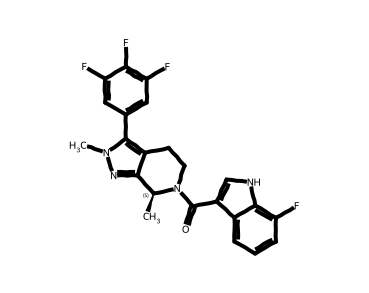 C[C@H]1c2nn(C)c(-c3cc(F)c(F)c(F)c3)c2CCN1C(=O)c1c[nH]c2c(F)cccc12